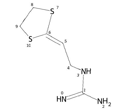 N=C(N)NCC=C1SCCS1